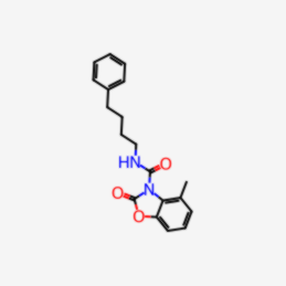 Cc1cccc2oc(=O)n(C(=O)NCCCCc3ccccc3)c12